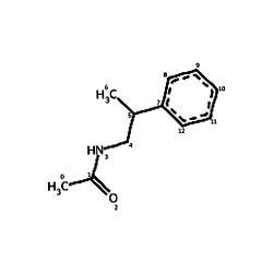 CC(=O)NCC(C)c1ccccc1